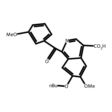 CCCCOc1cc2c(C(=O)c3cccc(OC)c3)ncc(C(=O)O)c2cc1OC